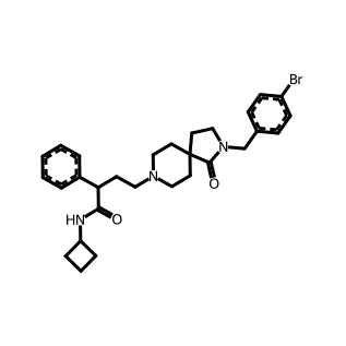 O=C(NC1CCC1)C(CCN1CCC2(CC1)CCN(Cc1ccc(Br)cc1)C2=O)c1ccccc1